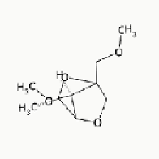 COCC12COC([C@H](C)O1)[C@H]2OC